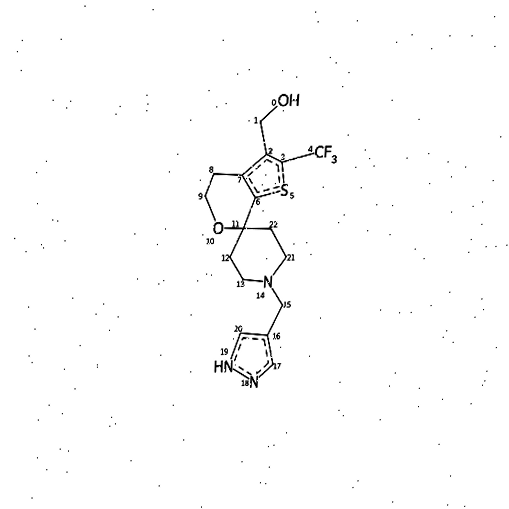 OCc1c(C(F)(F)F)sc2c1CCOC21CCN(Cc2cn[nH]c2)CC1